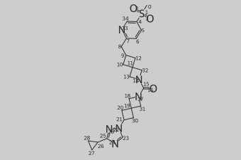 CS(=O)(=O)c1ccc(CC2CC3(C2)CN(C(=O)N2CC4(CC(n5cnc(C6CC6)n5)C4)C2)C3)nc1